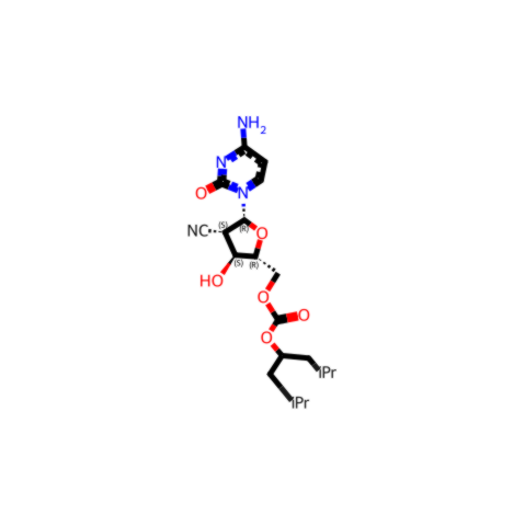 CC(C)CC(CC(C)C)OC(=O)OC[C@H]1O[C@@H](n2ccc(N)nc2=O)[C@@H](C#N)[C@@H]1O